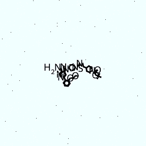 COCOc1ccccc1-c1cc2c(nn1)c(N)nn2C1CCN(c2ncc(C3CCN(C(=O)OC(C)(C)C)CC3)s2)CC1